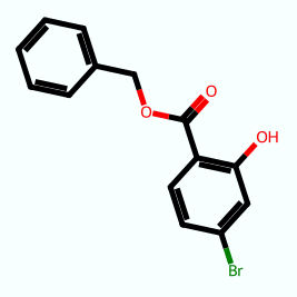 O=C(OCc1ccccc1)c1ccc(Br)cc1O